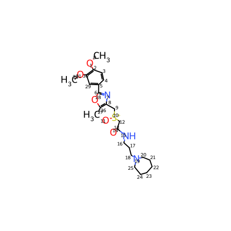 COc1ccc(-c2nc(C[S+]([O-])CC(=O)NCCCN3CCCCCC3)c(C)o2)cc1OC